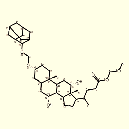 COCOC(=O)CCC(C)C1CCC2C3C(C[C@H](O)[C@]12C)[C@@]1(C)CC[C@@H](OCOC2C4CC5CC(C4)CC2C5)CC1C[C@H]3O